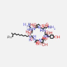 CCC(C)CC(C)CCCCCCCCC(=O)N[C@H]1C[C@@H](O)[C@@H](NCCN)NC(=O)[C@@H]2[C@@H](O)CCN2C(=O)[C@H]([C@H](O)CC(N)=O)NC(=O)[C@H]([C@H](O)[C@@H](O)c2ccc(O)cc2)NC(=O)[C@@H]2C[C@@H](O)CN2C(=O)[C@H]([C@@H](C)O)NC1=O